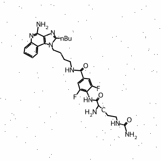 CCCCc1nc2c(N)nc3ccccc3c2n1CCCCNC(=O)c1cc(F)c(NC(=O)C(N)CCCNC(N)=O)c(F)c1